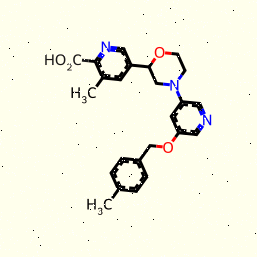 Cc1ccc(COc2cncc(N3CCOC(c4cnc(C(=O)O)c(C)c4)C3)c2)cc1